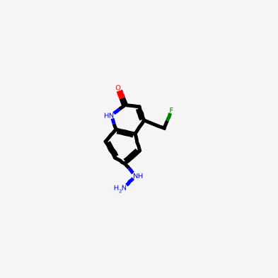 NNc1ccc2[nH]c(=O)cc(CF)c2c1